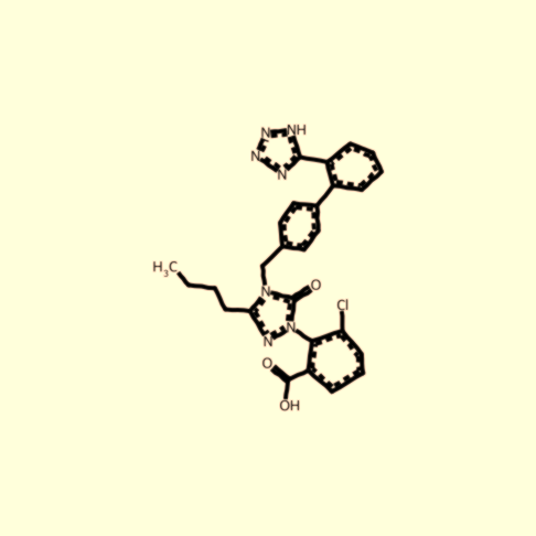 CCCCc1nn(-c2c(Cl)cccc2C(=O)O)c(=O)n1Cc1ccc(-c2ccccc2-c2nnn[nH]2)cc1